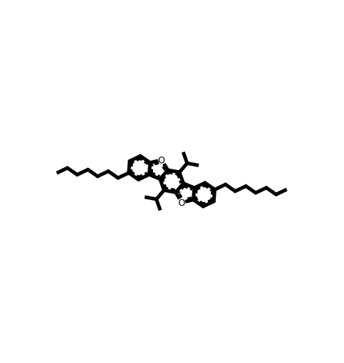 CCCCCCCc1ccc2oc3c(C(C)C)c4c(oc5ccc(CCCCCCC)cc54)c(C(C)C)c3c2c1